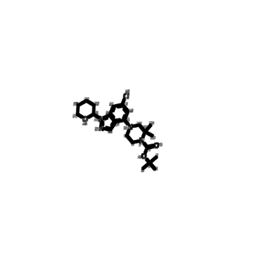 CC(C)(C)OC(=O)N1CCN(c2cc(Cl)cc3c2cnn3C2CCCCO2)CC1(C)C